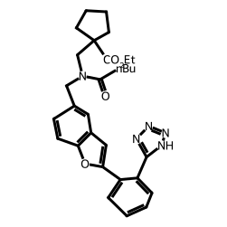 CCCCC(=O)N(Cc1ccc2oc(-c3ccccc3-c3nnn[nH]3)cc2c1)CC1(C(=O)OCC)CCCC1